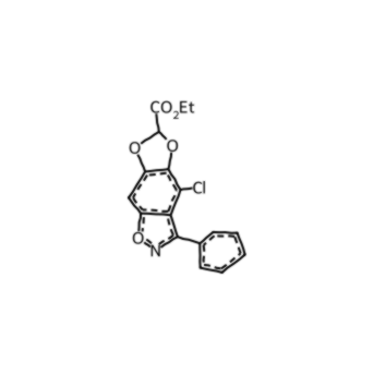 CCOC(=O)C1Oc2cc3onc(-c4ccccc4)c3c(Cl)c2O1